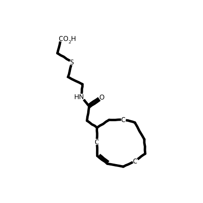 O=C(O)CSCCNC(=O)CC1C/C=C\CCCCCCC1